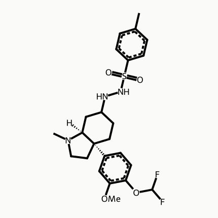 COc1cc([C@@]23CCC(NNS(=O)(=O)c4ccc(C)cc4)C[C@@H]2N(C)CC3)ccc1OC(F)F